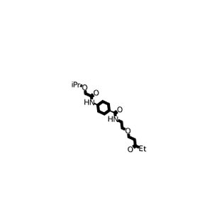 CCC(=O)CCOCCNC(=O)[C@H]1CC[C@@H](NC(=O)COC(C)C)CC1